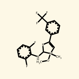 CO[N+]1(C)C=C(c2cccc(C(F)(F)F)c2)SC1Nc1c(F)cccc1F